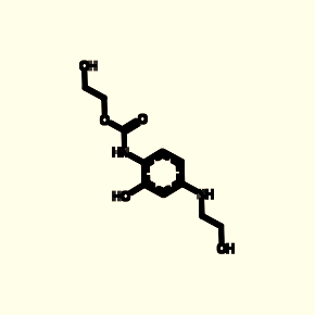 O=C(Nc1ccc(NCCO)cc1O)OCCO